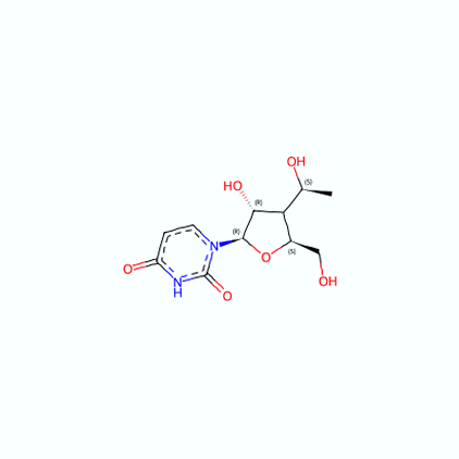 C[C@H](O)C1[C@@H](O)[C@H](n2ccc(=O)[nH]c2=O)O[C@@H]1CO